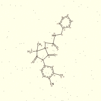 CC1(C)C(=O)N(c2ccc(C#N)c(C(F)(F)F)c2)C(=O)N1CC(=O)NCc1ccccn1